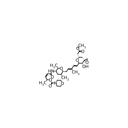 COC(=O)C[C@@H]1C[C@@]2(CO2)[C@H](O)C(/C=C/C(C)=C/C[C@@H]2O[C@H](C)[C@H](NC(=O)/C=C\[C@H](C)OC(=O)N3CCOCC3)C[C@@H]2C)O1